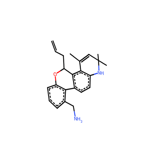 C=CCC1Oc2cccc(CN)c2-c2ccc3c(c21)C(C)=CC(C)(C)N3